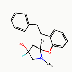 CCC1(Oc2ccccc2CCc2ccccc2)CC(O)(F)CN1C